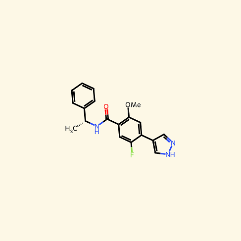 COc1cc(-c2cn[nH]c2)c(F)cc1C(=O)N[C@H](C)c1ccccc1